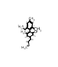 CCc1cc(C)cc(C)c1C1=C(C)CC(CCSC)CC1=O